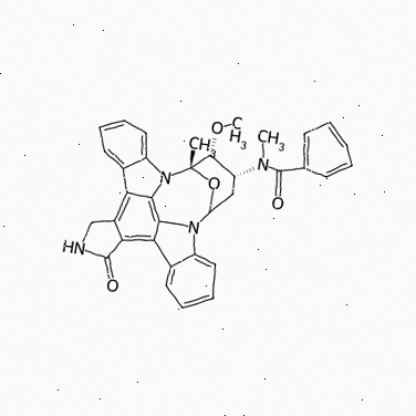 CO[C@@H]1[C@H](N(C)C(=O)c2ccccc2)CC2O[C@]1(C)n1c3ccccc3c3c4c(c5c6ccccc6n2c5c31)C(=O)NC4